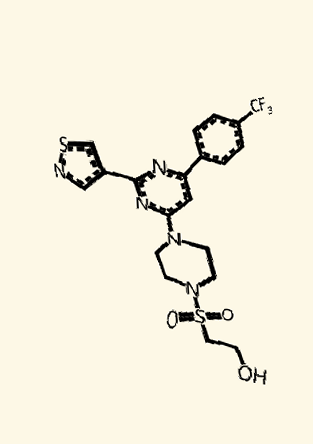 O=S(=O)(CCO)N1CCN(c2cc(-c3ccc(C(F)(F)F)cc3)nc(-c3cnsc3)n2)CC1